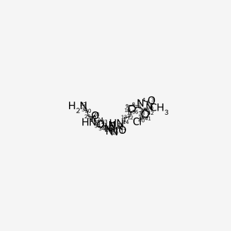 CN1C(=O)CN=C(c2cccc(CCCNC(=O)c3nnn(-c4ccc(NC(=O)CCCN)cc4)n3)c2)c2cc(Cl)ccc21